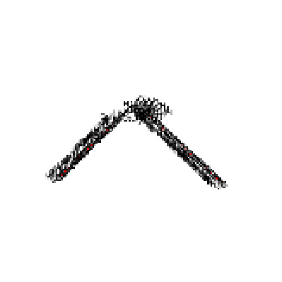 CCOC(=O)NC=CC(=O)O.CCOC(=O)NC=CC(=O)O.CCOC(=O)NC=CC(=O)O.CCOC(=O)NC=CC(=O)O.CCOC(=O)NC=CC(=O)O.CCOC(=O)NC=CC(=O)O.O.O.O.O.O.O.O.O.O.O.O.O.O.O.O.O.O.O.O.O.O.O.O.O.O.O.O.O.O.O.O.O.O.O.O.O.O.O.O.O.O.O.O.O.O.O.O.O.O.O.O.O.O.O.O.O.O.O.O.O.O.O.O.O.O.O.O.O.O.O.O.O.O.O.O.O.O.O.O.O